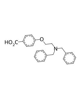 O=C(O)c1ccc(OCCN(Cc2ccccc2)Cc2ccccc2)cc1